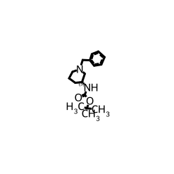 CC(C)(C)OC(=O)N[C@H]1CCCN(Cc2ccccc2)C1